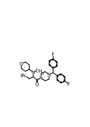 CC(C)CC(C(=O)N1CCN(C(c2ccc(F)cc2)c2ccc(F)cc2)CC1)N(C)C1CCOCC1